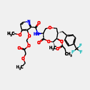 CCOCC(=O)OCOc1c(OC)ccnc1C(=O)N[C@H]1COC[C@H](Cc2ccc(C(F)(F)F)cc2)[C@@H](OC(=O)CC)[C@H](C)OC1=O